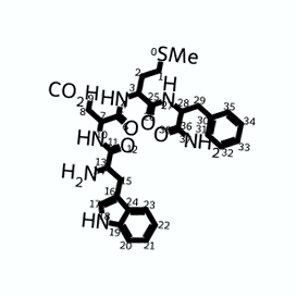 CSCCC(NC(=O)C(CC(=O)O)NC(=O)C(N)Cc1c[nH]c2ccccc12)C(=O)NC(Cc1ccccc1)C(N)=O